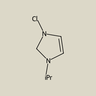 CC(C)N1C=CN(Cl)C1